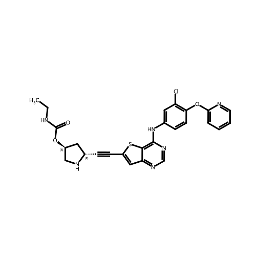 CCNC(=O)O[C@@H]1CN[C@@H](C#Cc2cc3ncnc(Nc4ccc(Oc5ccccn5)c(Cl)c4)c3s2)C1